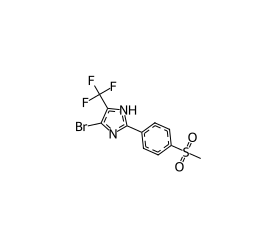 CS(=O)(=O)c1ccc(-c2nc(Br)c(C(F)(F)F)[nH]2)cc1